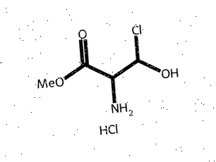 COC(=O)C(N)C(O)Cl.Cl